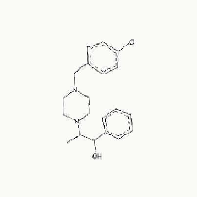 CC(C(O)c1ccccc1)N1CCN(Cc2ccc(Cl)cc2)CC1